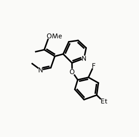 CCc1ccc(Oc2ncccc2C(/C=N\C)=C(/C)OC)c(F)c1